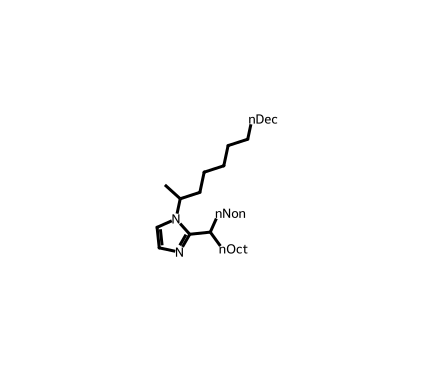 CCCCCCCCCCCCCCCC(C)n1ccnc1C(CCCCCCCC)CCCCCCCCC